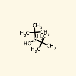 CC(C)(C)[Si](O)C(C)(C)C